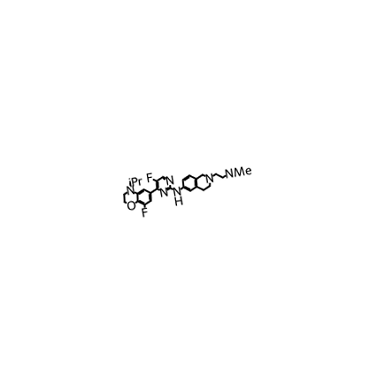 CNCCN1CCc2cc(Nc3ncc(F)c(-c4cc(F)c5c(c4)N(C(C)C)CCO5)n3)ccc2C1